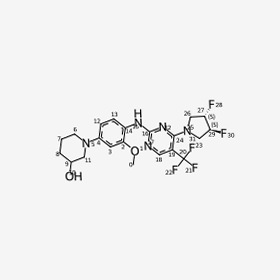 COc1cc(N2CCCC(O)C2)ccc1Nc1ncc(C(F)(F)F)c(N2C[C@H](F)[C@@H](F)C2)n1